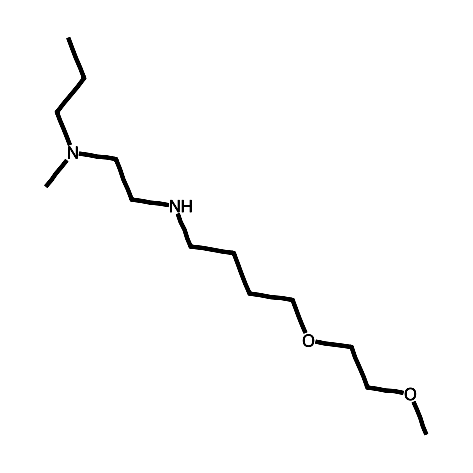 CCCN(C)CCNCCCCOCCOC